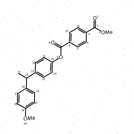 COC(=O)c1ccc(C(=O)Oc2ccc(C(C)c3ccc(OC)cc3)cc2)cc1